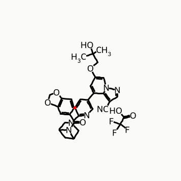 CC(C)(O)COc1cc(-c2ccc(N3CC4CC(C3)N4C(=O)c3ccc4c(c3)OCO4)nc2)c2c(C#N)cnn2c1.O=C(O)C(F)(F)F